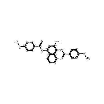 COc1ccc(C(=O)Nc2c(N)cc(OC(=O)c3ccc(OC)cc3)c3ccccc23)cc1